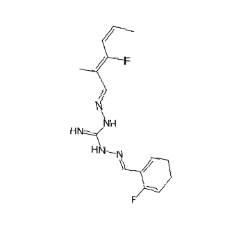 C\C=C/C(F)=C(C)/C=N/NC(=N)N/N=C/C1=CCCC=C1F